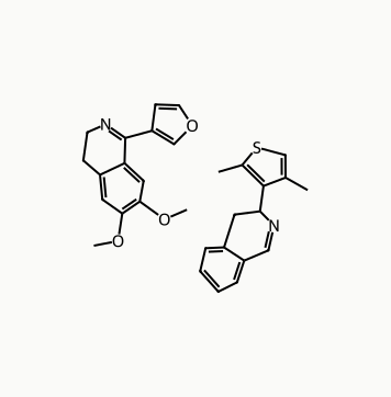 COc1cc2c(cc1OC)C(c1ccoc1)=NCC2.Cc1csc(C)c1C1Cc2ccccc2C=N1